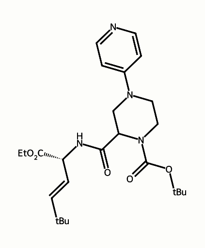 CCOC(=O)[C@@H](/C=C/C(C)(C)C)NC(=O)C1CN(c2ccncc2)CCN1C(=O)OC(C)(C)C